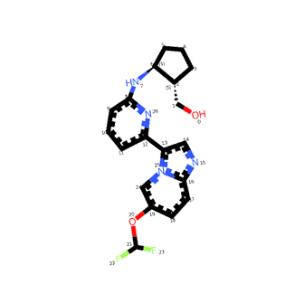 OC[C@H]1CCC[C@@H]1Nc1cccc(-c2cnc3ccc(OC(F)F)cn23)n1